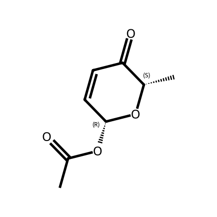 CC(=O)O[C@@H]1C=CC(=O)[C@H](C)O1